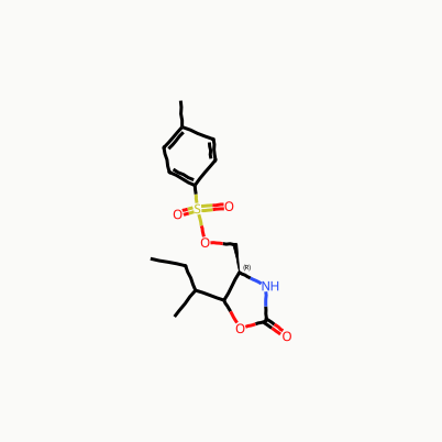 CCC(C)C1OC(=O)N[C@@H]1COS(=O)(=O)c1ccc(C)cc1